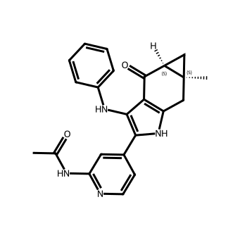 CC(=O)Nc1cc(-c2[nH]c3c(c2Nc2ccccc2)C(=O)[C@H]2C[C@@]2(C)C3)ccn1